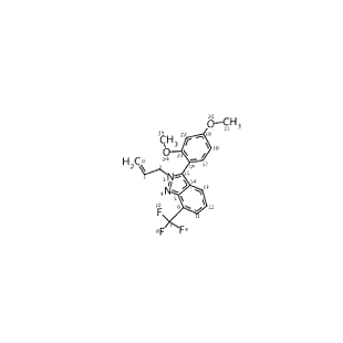 C=CCn1nc2c(C(F)(F)F)cccc2c1-c1ccc(OC)cc1OC